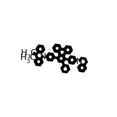 CC1(C)c2ccccc2N(c2ccc(-c3cc(C4=CCCC=C4)c(-c4ccc(N5CCCc6ccccc65)cc4)c4c5ccccc5c5ccccc5c34)cc2)c2ccccc21